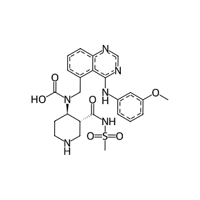 COc1cccc(Nc2ncnc3cccc(CN(C(=O)O)[C@@H]4CCNC[C@H]4C(=O)NS(C)(=O)=O)c23)c1